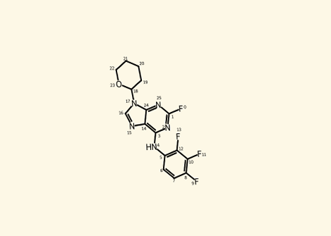 Fc1nc(Nc2ccc(F)c(F)c2F)c2ncn(C3CCCCO3)c2n1